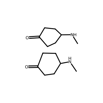 CNC1CCC(=O)CC1.CNC1CCC(=O)CC1